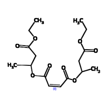 CCOC(=O)CC(C)OC(=O)/C=C\C(=O)OC(C)CC(=O)OCC